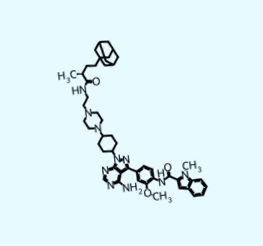 COc1cc(-c2nn(C3CCC(N4CCN(CCNC(=O)[C@@H](C)CCC56CC7CC(CC(C7)C5)C6)CC4)CC3)c3ncnc(N)c23)ccc1NC(=O)c1cc2ccccc2n1C